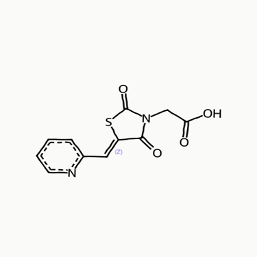 O=C(O)CN1C(=O)S/C(=C\c2ccccn2)C1=O